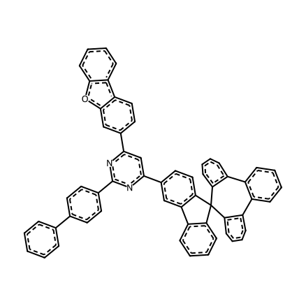 c1ccc(-c2ccc(-c3nc(-c4ccc5c(c4)-c4ccccc4C54c5ccccc5-c5ccccc5-c5ccccc54)cc(-c4ccc5c(c4)oc4ccccc45)n3)cc2)cc1